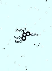 COC(=O)c1cc2c(OC)c(OC)ccc2c2cc(OC)ccc12